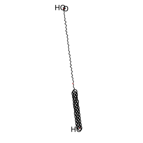 O=C(O)CCCCCCCCCCCCCCCCCCCCCCCCCCCCCCCCCCCCCCCCCCCCCCCCCOOOOOOOOOOOOOOOOOOOOOOOO